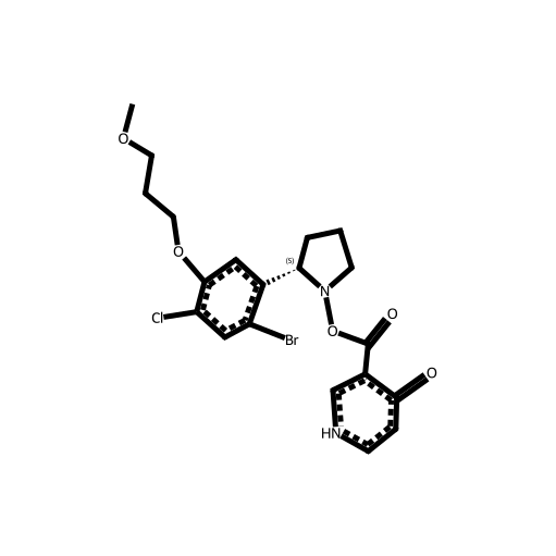 COCCCOc1cc([C@@H]2CCCN2OC(=O)c2c[nH]ccc2=O)c(Br)cc1Cl